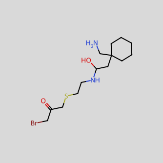 NCC1(CC(O)NCCSCC(=O)CBr)CCCCC1